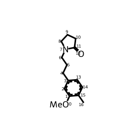 COc1cc(CCCN2CCCC2=O)ccc1C